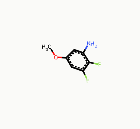 COc1cc(N)c(F)c(F)c1